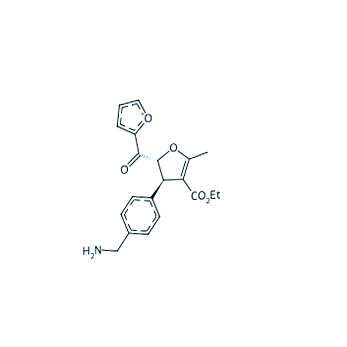 CCOC(=O)C1=C(C)O[C@@H](C(=O)c2ccco2)[C@@H]1c1ccc(CN)cc1